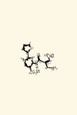 CCOC(=O)c1cnc(-c2cccs2)nc1NC(=O)/C(=C\C=O)CN